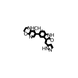 Cc1c(-c2ccc3c(c2)/C(=C/c2ccn[nH]2)C(=O)N3)cnc2c1NCCO2